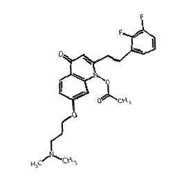 CC(=O)On1c(CCc2cccc(F)c2F)cc(=O)c2ccc(OCCCN(C)C)cc21